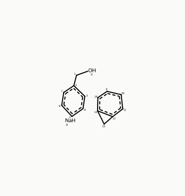 OCc1ccccc1.[NaH].c1ccc2c(c1)C2